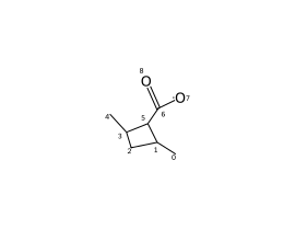 CC1CC(C)C1C([O])=O